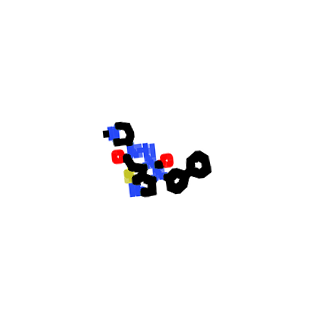 CN1CCCC(NC(=O)c2sc3nccc4c3c2NC(=O)N4c2cccc(-c3ccccc3)c2)C1